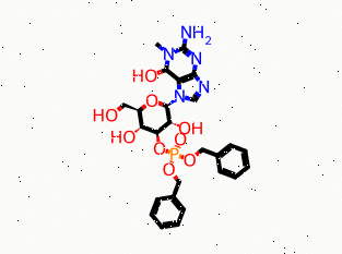 CN1C(N)=Nc2ncn([C@@H]3O[C@H](CO)[C@@H](O)[C@H](OP(=O)(OCc4ccccc4)OCc4ccccc4)[C@H]3O)c2C1O